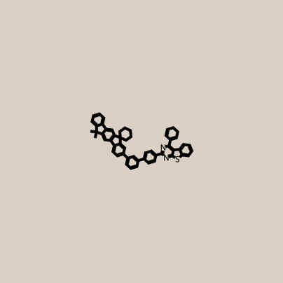 CC1(C)c2ccccc2-c2cc3c(cc21)-c1ccc(-c2cccc(-c4ccc(-c5nc(C6=CCCC=C6)c6c(n5)sc5ccccc56)cc4)c2)cc1C31CCCCC1